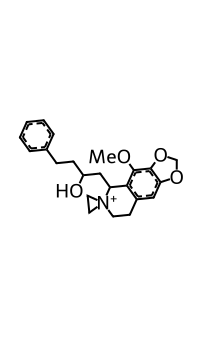 COc1c2c(cc3c1C(CC(O)CCc1ccccc1)[N+]1(CC3)CC1)OCO2